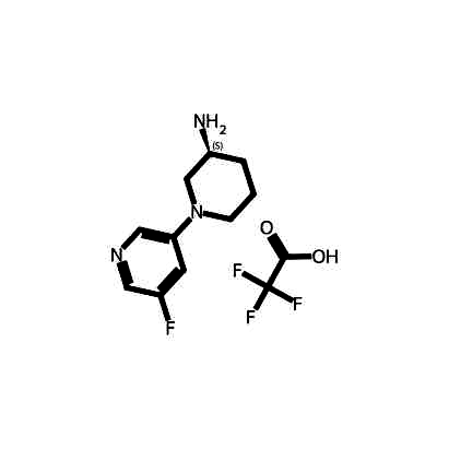 N[C@H]1CCCN(c2cncc(F)c2)C1.O=C(O)C(F)(F)F